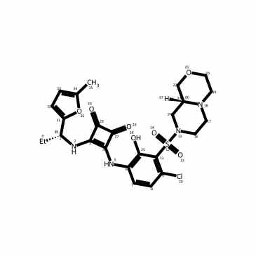 CC[C@@H](Nc1c(Nc2ccc(Cl)c(S(=O)(=O)N3CCN4CCOC[C@H]4C3)c2O)c(=O)c1=O)c1ccc(C)o1